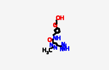 Cc1nc(C(=O)NCc2cccc(OCCO)c2)cc(-c2nn[nH]n2)n1